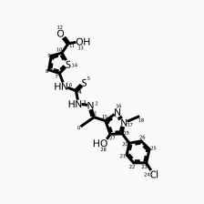 C/C(=N\NC(=S)Nc1ccc(C(=O)O)s1)c1nn(C)c(-c2ccc(Cl)cc2)c1O